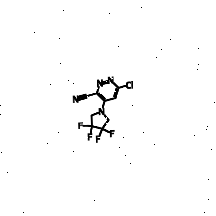 N#Cc1nnc(Cl)cc1N1CC(F)(F)C(F)(F)C1